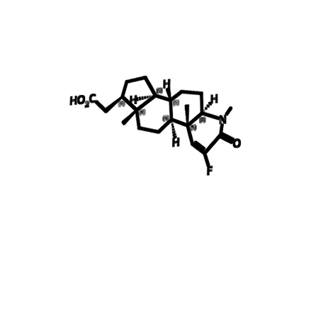 CN1C(=O)C(F)=C[C@]2(C)[C@H]3CC[C@]4(C)[C@@H](CC(=O)O)CC[C@H]4[C@@H]3CC[C@@H]12